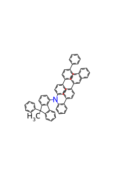 CC1(c2ccccc2)c2ccccc2-c2c(N(c3ccc(-c4ccc(-c5ccccc5)cc4)cc3)c3ccccc3-c3ccc(-c4ccc5ccccc5c4)cc3)cccc21